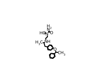 CC(Cc1ccc(OC(C)c2ccccc2)cc1)NCCN(O)C(N)=O